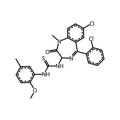 COc1ccc(C)cc1NC(=S)NC1N=C(c2ccccc2Cl)c2cc(Cl)ccc2N(C)C1=O